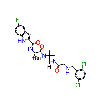 CC(C)(C)C(NC(=O)c1cc2cc(F)ccc2[nH]1)C(=O)N1C[C@H]2N(C(=O)CNCc3cc(Cl)ccc3Cl)CC21C